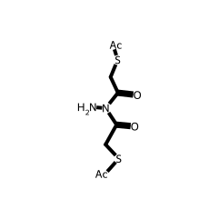 CC(=O)SCC(=O)N(N)C(=O)CSC(C)=O